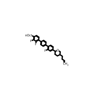 C=CCCC1CCC(c2ccc(-c3ccc(-c4ccc(CCCCCCCC)c(F)c4F)cc3)c(F)c2)OC1